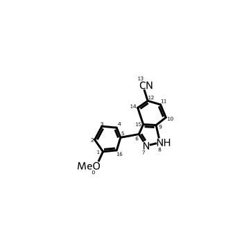 COc1cccc(-c2n[nH]c3ccc(C#N)cc23)c1